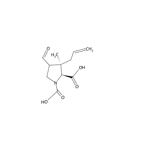 C=CC[C@]1(C)C(C=O)CN(C(=O)O)[C@@H]1C(=O)O